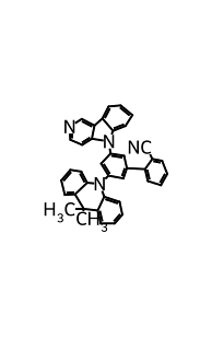 CC1(C)c2ccccc2N(c2cc(-c3ccccc3C#N)cc(-n3c4ccccc4c4cnccc43)c2)c2ccccc21